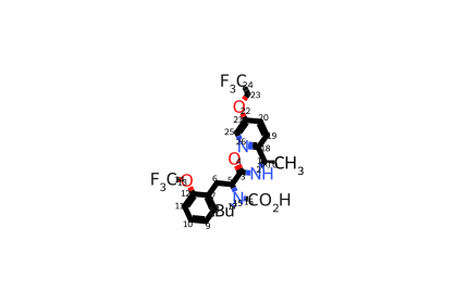 C[C@@H](NC(=O)C(Cc1ccccc1OC(F)(F)F)N(C(=O)O)C(C)(C)C)c1ccc(OCC(F)(F)F)cn1